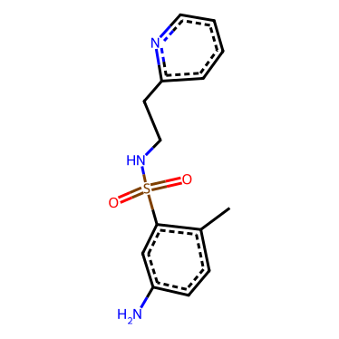 Cc1ccc(N)cc1S(=O)(=O)NCCc1ccccn1